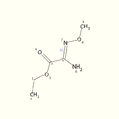 CCOC(=O)/C(N)=N/OC